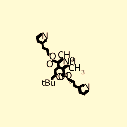 CC1=C(C(=O)OCCCc2cccnc2)C(CC(C)CC(C)(C)C)C(C(=O)OCCCc2cccnc2)=C(C)N1